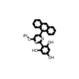 CC(C)Oc1cc(-c2c3ccccc3cc3ccccc23)nc(-c2c(O)cc(O)cc2O)n1